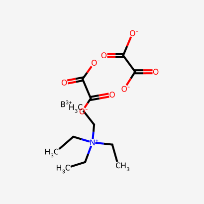 CC[N+](CC)(CC)CC.O=C([O-])C(=O)[O-].O=C([O-])C(=O)[O-].[B+3]